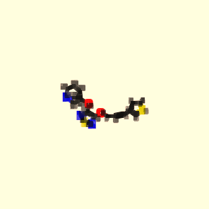 C(#Cc1ccsc1)COc1nsnc1OC1CN2CCC1C2